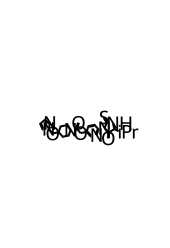 CC(C)C1NC(=S)N(c2ccc(OC(=O)N3CCC(On4cccn4)CC3)cn2)C1=O